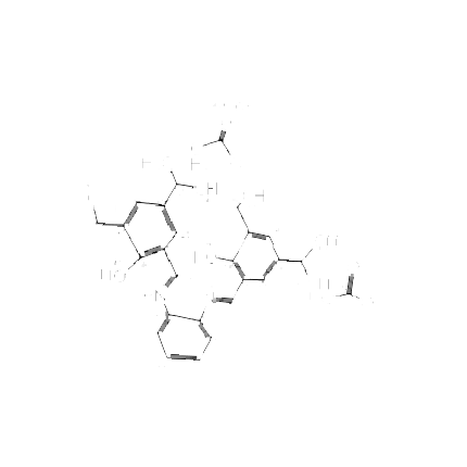 CC(=O)[O-].CC(=O)[O-].CCc1cc(C(C)C)cc(C=Nc2ccccc2N=Cc2cc(C(C)C)cc(CC)c2O)c1O.[Co+2]